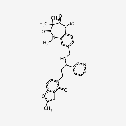 CCN1C(=O)C(C)(C)C(=O)N(C)c2cc(CNC(CCn3ccc4oc(C)cc4c3=O)c3cccnc3)ccc21